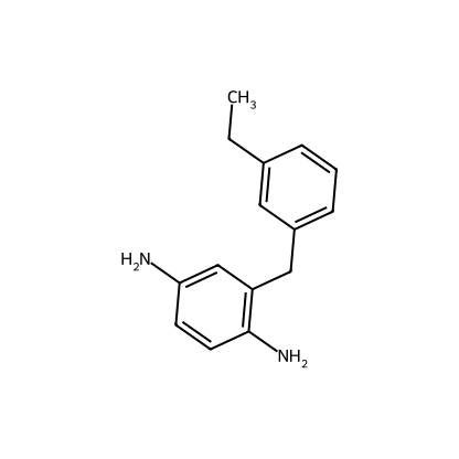 CCc1cccc(Cc2cc(N)ccc2N)c1